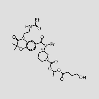 CCC(=O)NCCN1C(=O)C(C)(C)Oc2ccc(C(=O)N(C(C)C)[C@@H]3CCCN(C(=O)OC(C)OC(=O)CCCO)C3)cc21